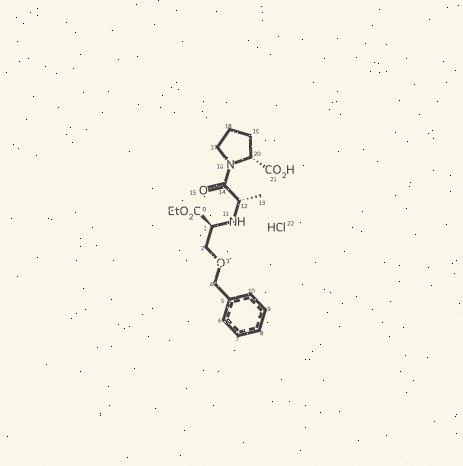 CCOC(=O)[C@H](COCc1ccccc1)N[C@@H](C)C(=O)N1CCC[C@@H]1C(=O)O.Cl